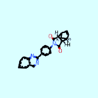 O=C1[C@@H]2[C@H](C(=O)N1c1ccc(-c3ncc4ccccc4n3)cc1)C1C=C[C@H]2C1